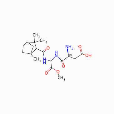 COC(=O)C(NC(=O)C1C2(C)CCC(C2)C1(C)C)NC(=O)[C@@H](N)CC(=O)O